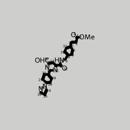 COC(=O)/C=C/c1ccc(CNC(=O)c2cc(C=O)nc(-c3ccc(-n4cccn4)cc3)n2)cc1